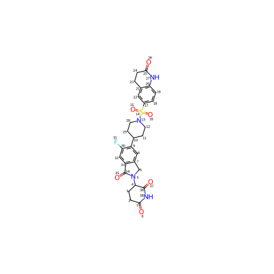 O=C1CCC(N2Cc3cc(C4CCN(S(=O)(=O)c5ccc6c(c5)CCC(=O)N6)CC4)c(F)cc3C2=O)C(=O)N1